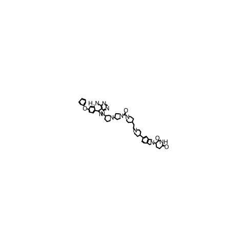 Nc1ncnc2c1c(-c1ccc(Oc3ccccc3)cc1)nn2[C@@H]1CCCN(C2CCN(C(=O)N3CCC(CCN4CCC(c5ccc6c(c5)CN(C5CCC(=O)NC5=O)C6)CC4)CC3)CC2)C1